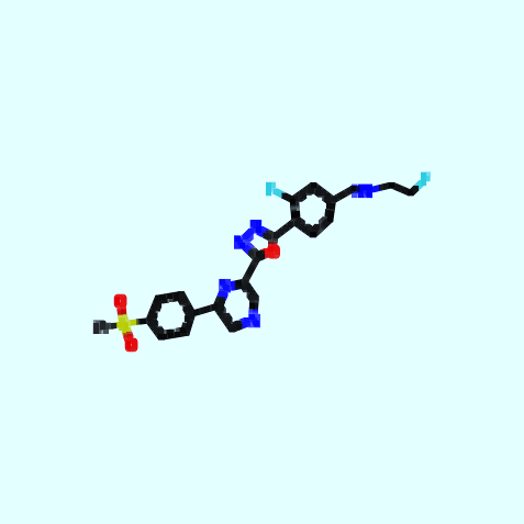 CC(C)S(=O)(=O)c1ccc(-c2cncc(-c3nnc(-c4ccc(CNCCF)cc4F)o3)n2)cc1